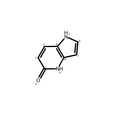 O=c1ccc2[nH]ccc2[nH]1